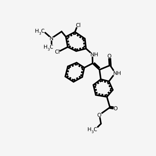 CCOC(=O)c1ccc2c(c1)NC(=O)/C2=C(\Nc1cc(Cl)c(CN(C)C)c(Cl)c1)c1ccccc1